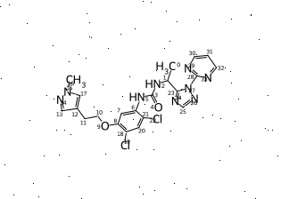 CC(NC(=O)Nc1cc(OCCc2cnn(C)c2)c(Cl)cc1Cl)c1ncnn1-c1ncccn1